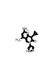 CC1=CC(N)N=C2C1=CN(c1cn[nH]c1)C(=O)C2C1CC1